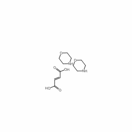 C1COCCN1.C1COCCN1.O=C(O)/C=C/C(=O)O